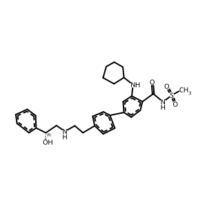 CS(=O)(=O)NC(=O)c1ccc(-c2ccc(CCNC[C@H](O)c3ccccc3)cc2)cc1NC1CCCCC1